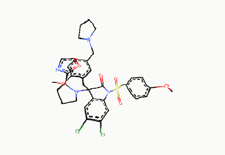 COc1ccc(S(=O)(=O)N2C(=O)C(c3cc(CN4CCCC4)ccc3OC)(N3CCC[C@H]3c3ncco3)c3cc(Cl)c(Cl)cc32)cc1